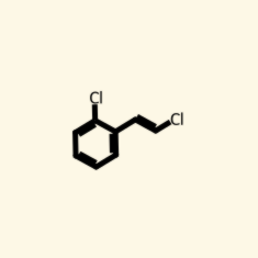 Cl/C=C/c1ccccc1Cl